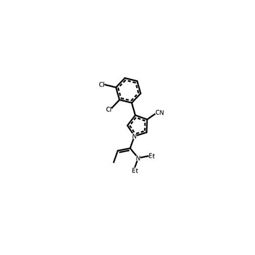 CC=C(N(CC)CC)n1cc(C#N)c(-c2cccc(Cl)c2Cl)c1